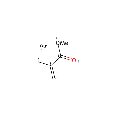 C=C(C)C(=O)OC.[Au]